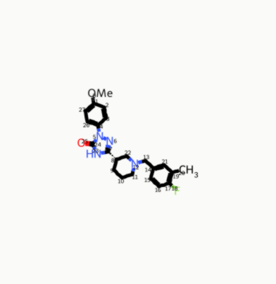 COc1ccc(-n2nc([C@H]3CCCN(Cc4ccc(F)c(C)c4)C3)[nH]c2=O)cc1